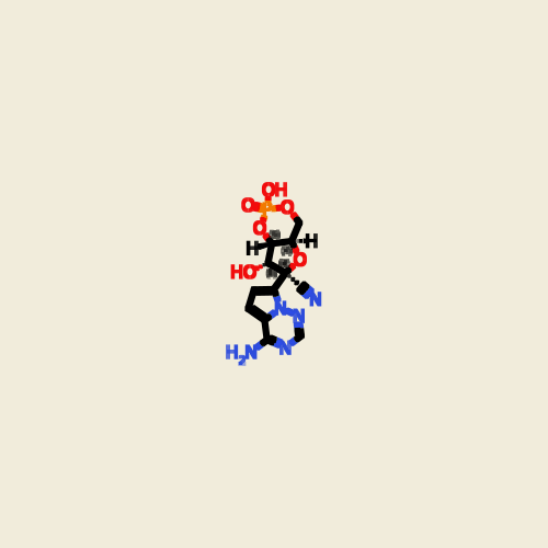 N#C[C@@]1(c2ccc3c(N)ncnn23)O[C@@H]2COP(=O)(O)O[C@H]2[C@H]1O